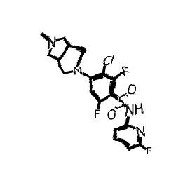 CN1CC2CN(c3cc(F)c(S(=O)(=O)Nc4cccc(F)n4)c(F)c3Cl)CC2C1